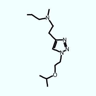 CCCN(C)CCc1cn(CCOC(C)C)nn1